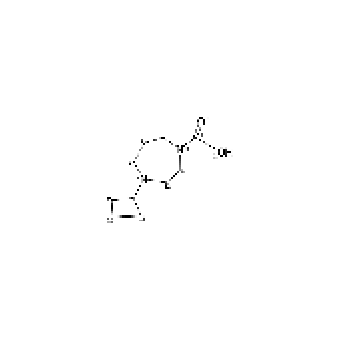 O=C(O)N1CCCN(C2CCC2)CC1